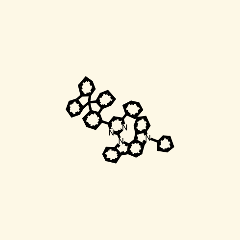 c1ccc(-c2cc(-c3cccc4c3-c3ccccc3C43c4ccccc4-c4ccccc43)nc(-n3c4ccccc4c4ccc5c(c6ccccc6n5-c5ccccc5)c43)n2)cc1